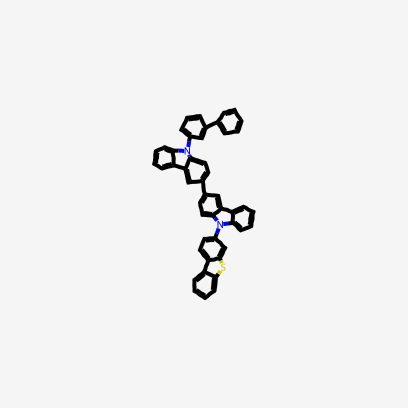 c1ccc(-c2cccc(-n3c4ccccc4c4cc(-c5ccc6c(c5)c5ccccc5n6-c5ccc6c(c5)sc5ccccc56)ccc43)c2)cc1